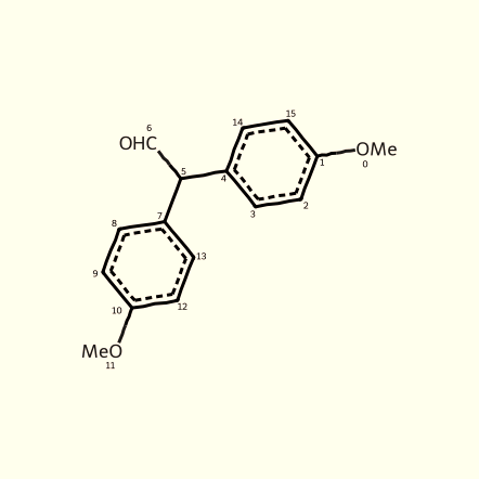 COc1ccc(C(C=O)c2ccc(OC)cc2)cc1